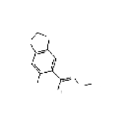 CO/N=C(\C)c1cc2c(cc1C)OCO2